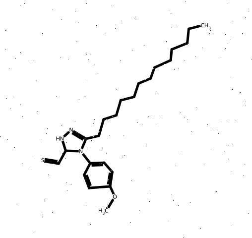 CCCCCCCCCCCCCC1=NNC(C=S)N1c1ccc(OC)cc1